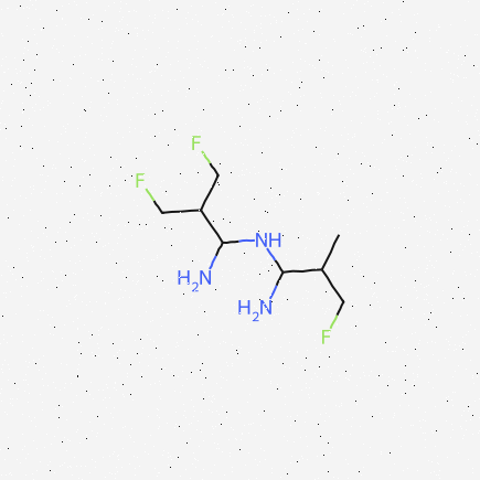 CC(CF)C(N)NC(N)C(CF)CF